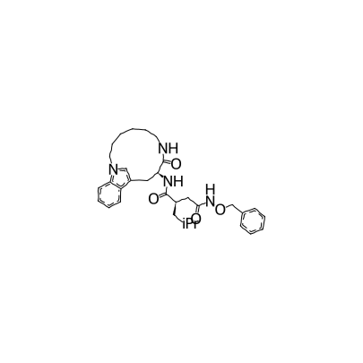 CC(C)C[C@H](CC(=O)NOCc1ccccc1)C(=O)N[C@H]1Cc2cn(c3ccccc23)CCCCCCNC1=O